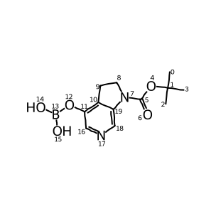 CC(C)(C)OC(=O)N1CCc2c(OB(O)O)cncc21